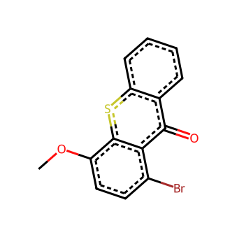 COc1ccc(Br)c2c(=O)c3ccccc3sc12